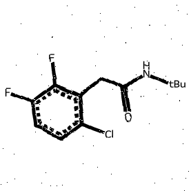 CC(C)(C)NC(=O)Cc1c(Cl)ccc(F)c1F